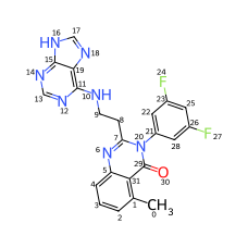 Cc1cccc2nc(CCNc3ncnc4[nH]cnc34)n(-c3cc(F)cc(F)c3)c(=O)c12